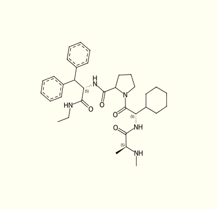 CCNC(=O)[C@@H](NC(=O)C1CCCN1C(=O)[C@@H](NC(=O)[C@H](C)NC)C1CCCCC1)C(c1ccccc1)c1ccccc1